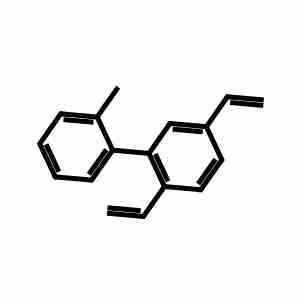 C=Cc1ccc(C=C)c(-c2ccccc2C)c1